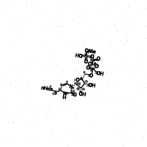 CCCCCCSC1C=CN([C@@H]2O[C@H](COP(=O)(O)OP(=O)(O)OP(=O)(O)OC)C(O)[C@@H]2O)C(=O)N1